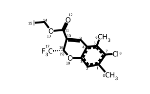 Cc1cc2c(c(C)c1Cl)C=C(C(=O)OCI)[C@@H](C(F)(F)F)O2